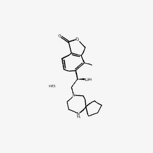 Cc1c([C@@H](O)CN2CCNC3(CCCC3)C2)ccc2c1COC2=O.Cl